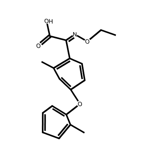 CCO/N=C(/C(=O)O)c1ccc(Oc2ccccc2C)cc1C